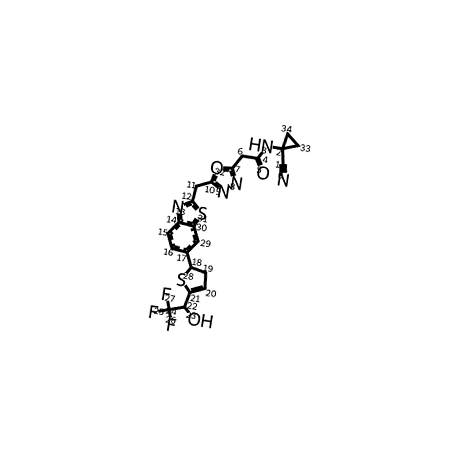 N#CC1(NC(=O)Cc2nnc(Cc3nc4ccc(C5CC=C(C(O)C(F)(F)F)S5)cc4s3)o2)CC1